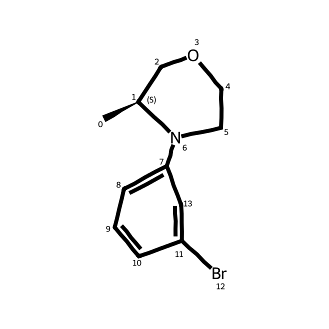 C[C@H]1COCCN1c1cccc(Br)c1